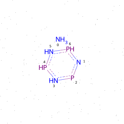 N.n1p[nH][pH][nH][pH]1